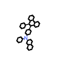 c1ccc(-c2c(-c3ccc(N(c4ccccc4)c4ccc5ccccc5c4)cc3)c3ccccc3c3ccccc23)cc1